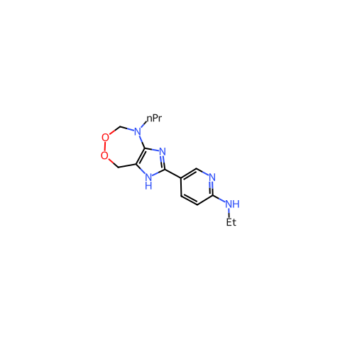 CCCN1COOCc2[nH]c(-c3ccc(NCC)nc3)nc21